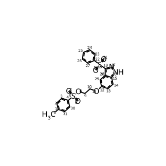 Cc1ccc(S(=O)(=O)OCCOc2ccc3[nH]nc(S(=O)(=O)c4ccccc4)c3c2)cc1